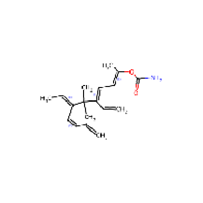 C=C/C=C\C(=C/C)C(C)(C)/C(C=C)=C/C=C(\C)OC(N)=O